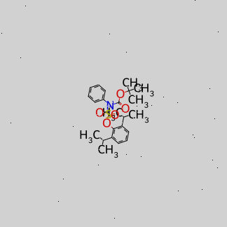 CC(C)c1cccc(C(C)C)c1OS(=O)(=O)N(C(=O)OC(C)(C)C)c1ccccc1